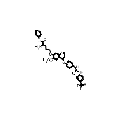 COc1cc2c(Oc3ccc(NC(=O)Nc4ccc(C(F)(F)F)cc4)cc3)ccnc2cc1OCCCC(N)C(=O)OC1CCCC1